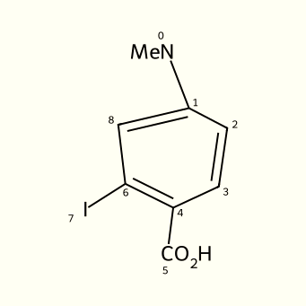 CNc1ccc(C(=O)O)c(I)c1